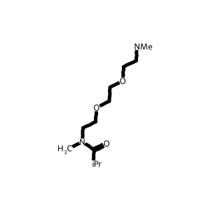 CNCCOCCOCCN(C)C(=O)C(C)C